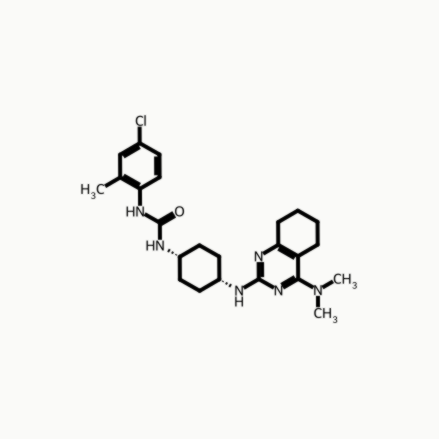 Cc1cc(Cl)ccc1NC(=O)N[C@H]1CC[C@@H](Nc2nc3c(c(N(C)C)n2)CCCC3)CC1